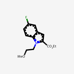 CCOC(=O)c1cc2cc(F)ccc2n1CCOC